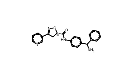 NC(c1ccccc1)c1ccc(NC(=O)[C@@H]2CC(c3cccnc3)=NO2)cc1